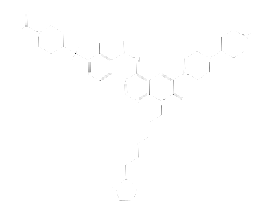 CC(Nc1ncnc2c1cc(N1CCN(C3CCN(C)CC3)CC1)c(=O)n2CCCCCCC1OCCO1)c1cccc(C(F)(F)C2CCN(C(=O)O)CC2)c1F